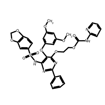 COc1cc(OC)cc(Oc2c(NS(=O)(=O)c3ccc4c(c3)OCO4)nc(-c3ccccc3)nc2OCCOC(=O)Nc2ccccn2)c1